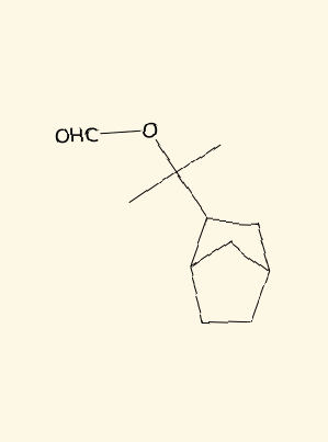 CC(C)(OC=O)C1CC2CCC1C2